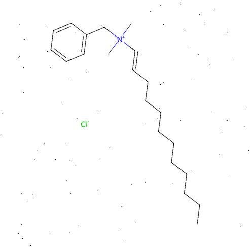 CCCCCCCCCCC=C[N+](C)(C)Cc1ccccc1.[Cl-]